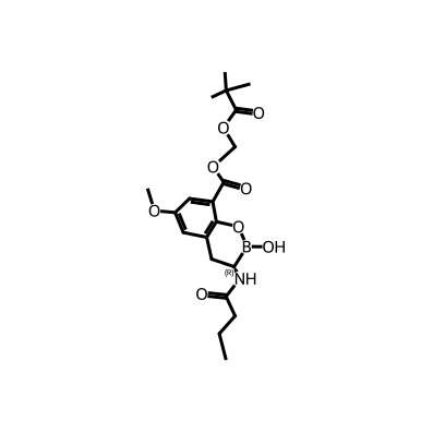 CCCC(=O)N[C@H]1Cc2cc(OC)cc(C(=O)OCOC(=O)C(C)(C)C)c2OB1O